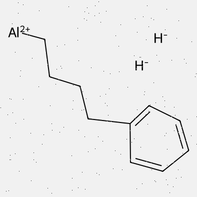 [Al+2][CH2]CCCc1ccccc1.[H-].[H-]